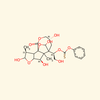 C[C@@H]1C(O)OC2C1C13OC(O)C([C@H](CO)OC(=S)Oc4ccccc4)(C[C@@H](O)COC1=O)C3(C)[C@H]2O